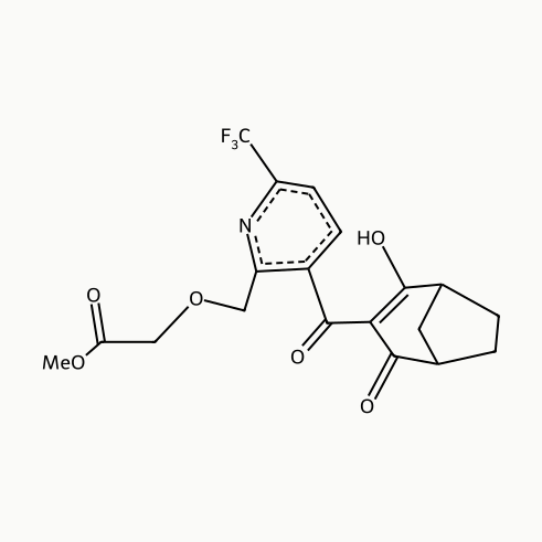 COC(=O)COCc1nc(C(F)(F)F)ccc1C(=O)C1=C(O)C2CCC(C2)C1=O